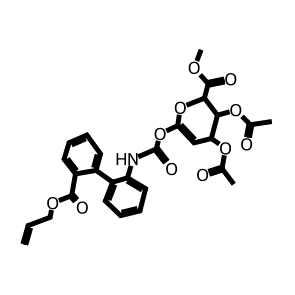 C=CCOC(=O)c1ccccc1-c1ccccc1NC(=O)OC1=CC(OC(C)=O)C(OC(C)=O)C(C(=O)OC)O1